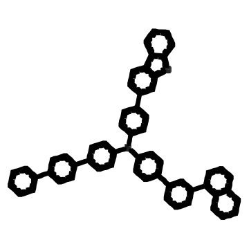 c1ccc(-c2ccc(-c3ccc(N(c4ccc(-c5cccc(-c6cccc7ccccc67)c5)cc4)c4ccc(-c5ccc6c(c5)oc5ccccc56)cc4)cc3)cc2)cc1